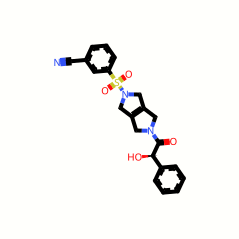 N#Cc1cccc(S(=O)(=O)N2CC3=C(CN(C(=O)[C@H](O)c4ccccc4)C3)C2)c1